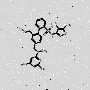 CCCc1cc(N(C)Cc2ccc(-c3ccccc3S(=O)(=O)Nc3noc(C)c3C)c(COCC)c2)nc(C)n1